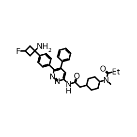 CCC(=O)N(C)C1CCC(CC(=O)Nc2cc(-c3ccccc3)c(-c3ccc(C4(N)CC(F)C4)cc3)nn2)CC1